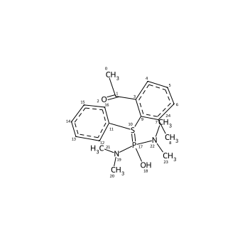 CC(=O)c1cccc(C)c1S(c1ccccc1)=P(O)(N(C)C)N(C)C